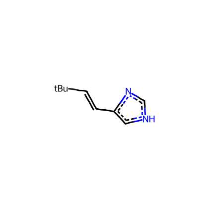 CC(C)(C)/C=C/c1c[nH]cn1